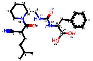 CC(C)CCC(C#N)C(=O)N1CCCC[C@@H]1CNC(=O)N[C@@H](Cc1ccccc1)B(O)O